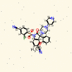 CCOc1ccccc1C1(N2CCN(c3ccncc3)CC2)C(=O)N(S(=O)(=O)c2ccc(C#N)cc2F)c2ccc(C#N)cc21